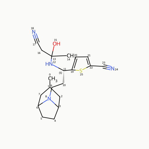 CC1CC2CCC(C1)N2CC[C@H](NC(C)(O)CC#N)c1ccc(C#N)s1